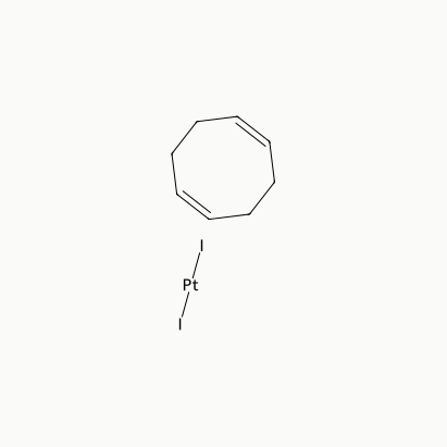 C1=CCCC=CCC1.[I][Pt][I]